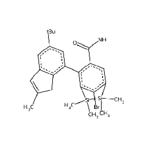 CC1=Cc2cc(C(C)(C)C)cc(-c3c(C([NH])=O)cc4c(Br)c3[Si](C)(C)[Si]4(C)C)c2C1